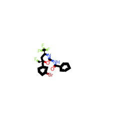 O=C(NC1=N[C@H](C(F)(F)F)C[C@@](CF)(c2cccc(Br)c2)O1)c1ccccc1